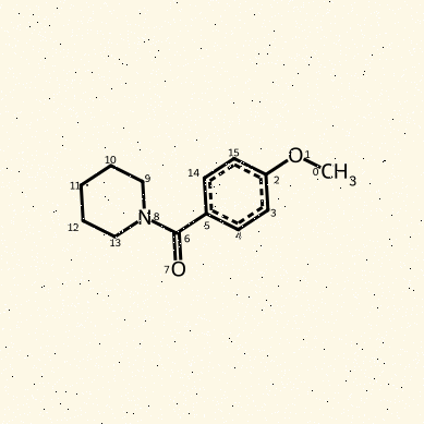 COc1ccc(C(=O)N2CC[CH]CC2)cc1